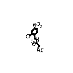 CC(=O)Cc1nc(-c2ccc([N+](=O)[O-])cc2Cl)no1